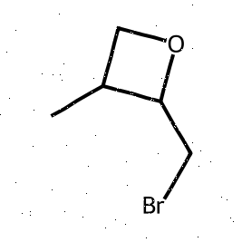 CC1COC1CBr